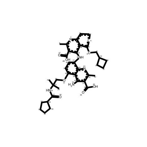 Cc1nc2cccc(OCC3CCC3)c2c(Nc2ccc(OCC(C)(C)NC(=O)C3CCCC3)c3c(N)c(C(=O)O)c(C)nc23)c1C(=O)O